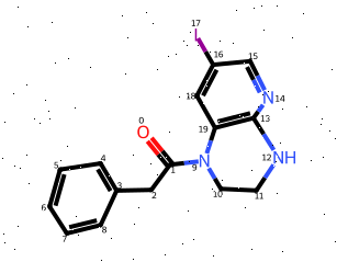 O=C(Cc1ccccc1)N1CCNc2ncc(I)cc21